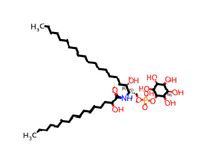 CCCCCCCCCCCCCCCCC[C@@H](O)[C@H](COP(=O)(O)OC1C(O)C(O)C(O)[C@@H](O)C1O)NC(=O)C(O)CCCCCCCCCCCCCC